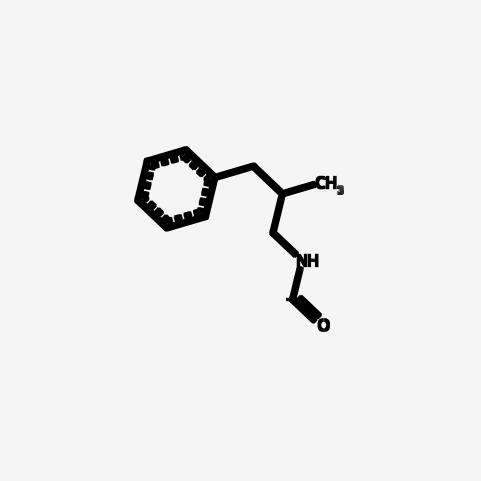 CC(CN[C]=O)Cc1ccccc1